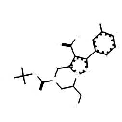 CC(C)(C)NC(=O)N1Cc2c(C(N)=O)c(-c3cccc(Cl)c3)nn2C(CF)C1